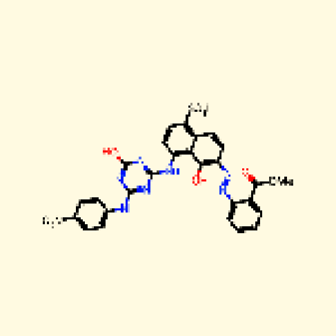 COC(=O)c1ccccc1N=Nc1ccc2c(S(=O)(=O)O)ccc(Nc3nc(O)nc(Nc4ccc([N+](=O)[O-])cc4)n3)c2c1O